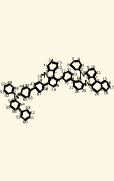 CN(c1ccccc1)c1cccc2c3c4ccccc4ccc3n(-c3cccc(-c4cccc(-c5ccc(-c6ccc(-c7ccc(N(c8ccccc8)c8cccc(-c9ccccc9)c8)cc7)cc6)c6c5c5ccccc5n6C)c4)c3)c12